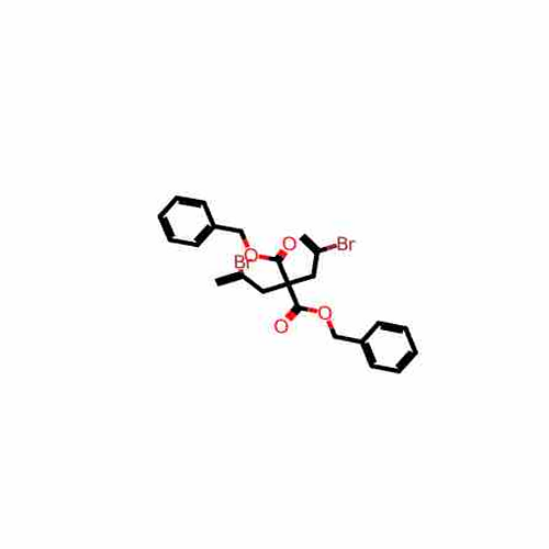 C=C(Br)CC(CC(=C)Br)(C(=O)OCc1ccccc1)C(=O)OCc1ccccc1